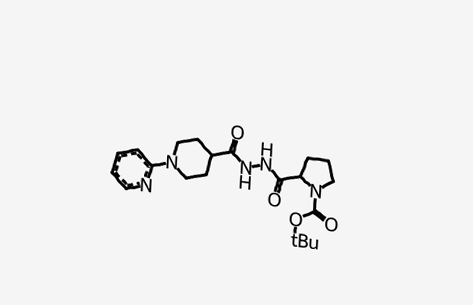 CC(C)(C)OC(=O)N1CCCC1C(=O)NNC(=O)C1CCN(c2ccccn2)CC1